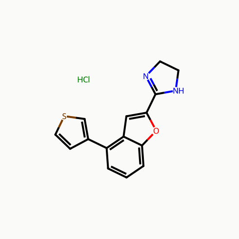 Cl.c1cc(-c2ccsc2)c2cc(C3=NCCN3)oc2c1